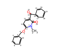 Cn1c(OCc2ccccc2)ccc(C(=O)c2ccccc2)c1=O